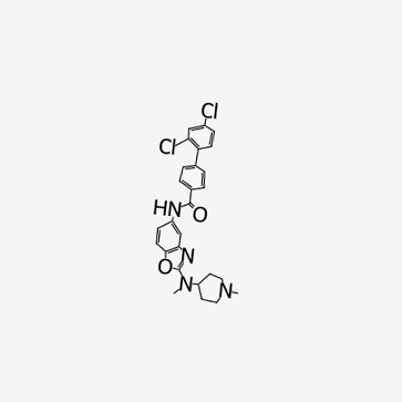 CN1CCC(N(C)c2nc3cc(NC(=O)c4ccc(-c5ccc(Cl)cc5Cl)cc4)ccc3o2)CC1